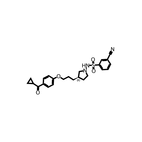 N#Cc1cccc(S(=O)(=O)NN2CC[C@@H](CCCOc3ccc(C(=O)C4CC4)cc3)C2)c1